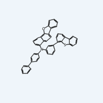 c1ccc(-c2ccc(N(c3cccc(-c4cccc5c4sc4ccccc45)c3)c3cccc4c3ccc3c5ccccc5oc43)cc2)cc1